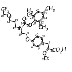 CCOC(Cc1ccc(OCCN(CCCOCC(F)(F)F)C(=O)Oc2c(C)cc(C)cc2C)cc1)C(=O)O